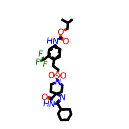 CC(C)COC(=O)Nc1ccc(CCS(=O)(=O)N2CCC3(CC2)N=C(C2CCCCC2)NC3=O)c(C(F)(F)F)c1